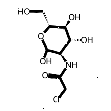 O=C(CCl)N[C@H]1C(O)O[C@H](CO)[C@@H](O)[C@@H]1O